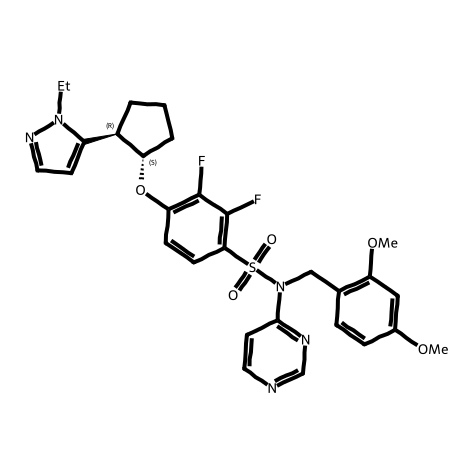 CCn1nccc1[C@H]1CCC[C@@H]1Oc1ccc(S(=O)(=O)N(Cc2ccc(OC)cc2OC)c2ccncn2)c(F)c1F